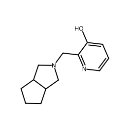 Oc1cccnc1CN1CC2CCCC2C1